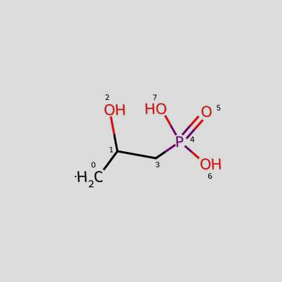 [CH2]C(O)CP(=O)(O)O